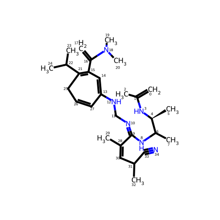 C=C(C)N[C@@H](C)C(C)NC(=N/CNC1=CC(C(=C)N(C)C)=C(C(C)C)CC=C1)/C(C)=C\C(C)C#N